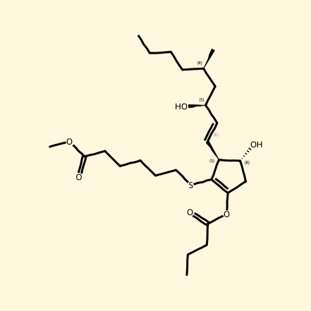 CCCC[C@@H](C)C[C@H](O)/C=C/[C@@H]1C(SCCCCCC(=O)OC)=C(OC(=O)CCC)C[C@H]1O